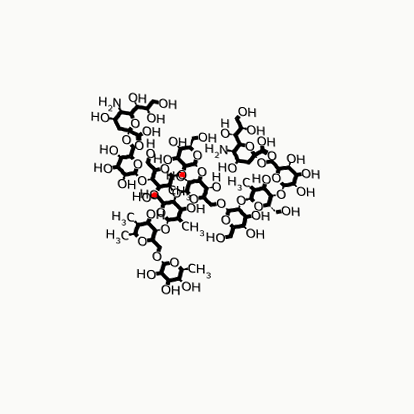 CC1C(O)[C@H](O[C@@H]2OC(CO[C@H]3OC(CO)[C@@H](O)C(O)[C@H]3O[C@@H]3O[C@@H](CO)[C@@H](O[C@@H]4OC(CO[C@]5(C(=O)O)C[C@@H](O)[C@@H](N)C([C@H](O)[C@H](O)CO)O5)[C@H](O)C(O)[C@@H]4O)C(O)C3C)[C@@H](O)C(O[C@H]3O[C@H](CO)[C@@H](O)C(O)C3O[C@@H]3OC(CO)[C@@H](O[C@@H]4OC(CO[C@]5(C(=O)O)C[C@@H](O)[C@@H](N)C([C@H](O)[C@H](O)CO)O5)[C@H](O)C(O)[C@@H]4O)C(O)[C@@H]3C)[C@H]2O)C(CO)O[C@H]1O[C@@H]1C(CO[C@@H]2O[C@@H](C)[C@@H](O)C(O)C2O)O[C@@H](C)[C@@H](C)C1O